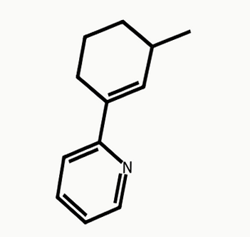 CC1C=C(c2ccccn2)CCC1